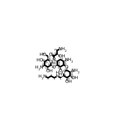 NCCCNC[C@H]1O[C@H](OC2[C@@H](N)C[C@@H](NC(=O)[C@@H](O)CN)[C@H](O[C@H]3O[C@H](CO)[C@@H](O)[C@H](N)[C@H]3O)[C@H]2O)[C@H](N)[C@@H](O)[C@@H]1O